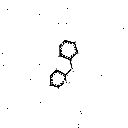 c1ccc([Se]c2ccccn2)cc1